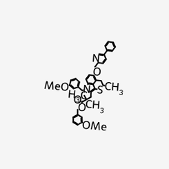 COc1cccc(COC(=O)C(C)(C)Cc2c3c4c(c(OCc5ccc(-c6ccccc6)cn5)ccc4n2Cc2cccc(OC)c2)CC(C)S3)c1